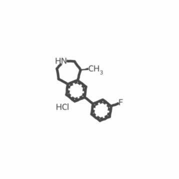 C[C@@H]1CNCCc2ccc(-c3cccc(F)c3)cc21.Cl